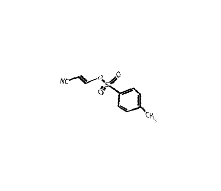 Cc1ccc(S(=O)(=O)O/C=C/C#N)cc1